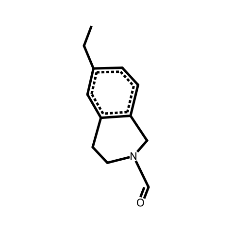 CCc1ccc2c(c1)CCN(C=O)C2